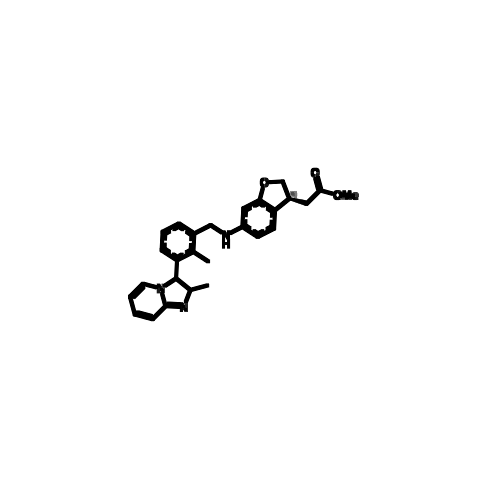 COC(=O)C[C@@H]1COc2cc(NCc3cccc(C4C(C)N=C5C=CC=CN54)c3C)ccc21